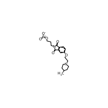 CC1CCN(CCOc2ccc3c(c2)C(=O)N(CCCO[N+](=O)[O-])C3=O)CC1